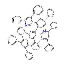 c1ccc(-c2ccc(-c3cc(-c4ccccc4-c4cnc(-c5ccccc5)cc4-c4ccccc4)cc(-c4ccccc4-c4cnc(-c5ccccc5)cc4-c4ccccc4)c3)c(-c3cnc(-c4ccccc4)cc3-c3ccccc3)c2)cc1